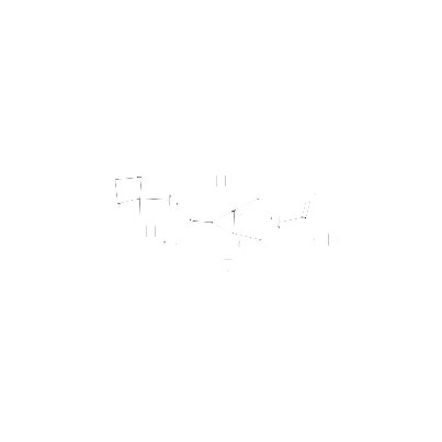 CC1(NC(=O)C2[C@H]3CN(C(=O)O)C[C@@H]23)CCC1